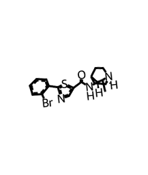 C[C@H]1[C@H](NC(=O)c2cnc(-c3ccccc3Br)s2)C2CCN1CC2